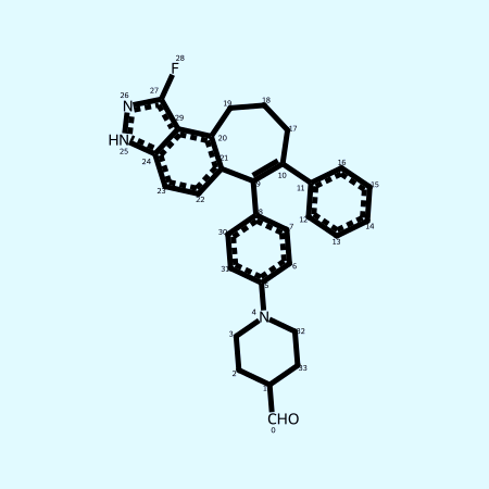 O=CC1CCN(c2ccc(C3=C(c4ccccc4)CCCc4c3ccc3[nH]nc(F)c43)cc2)CC1